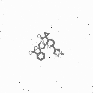 Cn1cc(-c2ccc(C3(C(=O)N4CCC5(C4)OC(=O)c4ccccc45)CC3)cn2)cn1